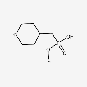 CCOP(=O)(O)CC1CC[N]CC1